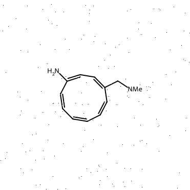 CNCc1ccccccc(N)cc1